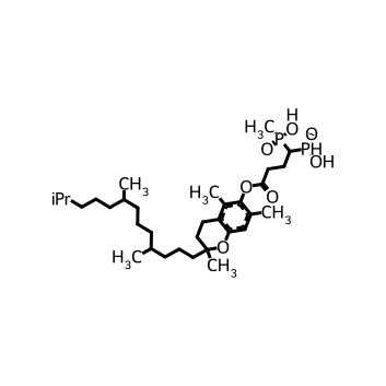 Cc1cc2c(c(C)c1OC(=O)CCC([PH](=O)O)P(C)(=O)O)CCC(C)(CCCC(C)CCCC(C)CCCC(C)C)O2